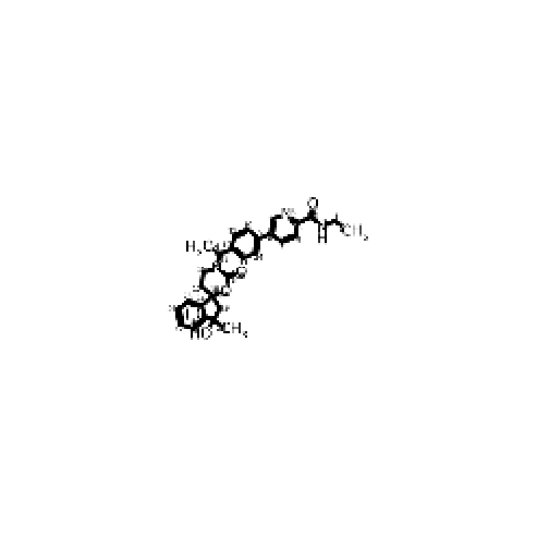 CCNC(=O)c1ccc(-c2ccc([C@H](C)N3CCC(CC(C)(C)O)(c4ccccc4)OC3=O)cc2)cn1